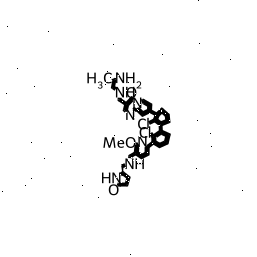 COc1nc(-c2cccc(-c3cccc(-c4ccn5c(=O)c(CNC[C@H](C)N)cnc5c4)c3Cl)c2Cl)ccc1CNC[C@H]1CCC(=O)N1